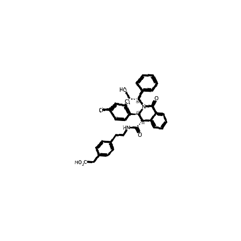 O=C(O)Cc1ccc(CCNC(=O)[C@H]2c3ccccc3C(=O)N([C@H](CO)c3ccccc3)[C@@H]2c2ccc(Cl)cc2Cl)cc1